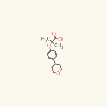 CC(C)(Oc1ccc(C2CCOCC2)cc1)C(=O)O